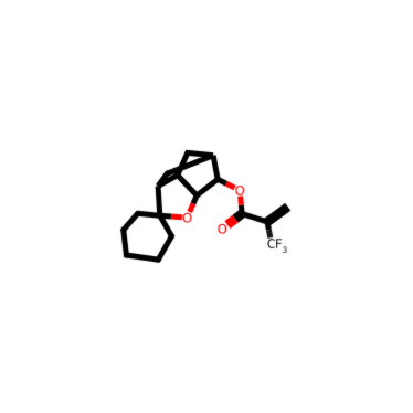 C=C(C(=O)OC1C2CC3C1OC1(CCCCC1)C3C2)C(F)(F)F